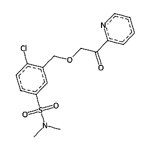 CN(C)S(=O)(=O)c1ccc(Cl)c(COCC(=O)c2ccccn2)c1